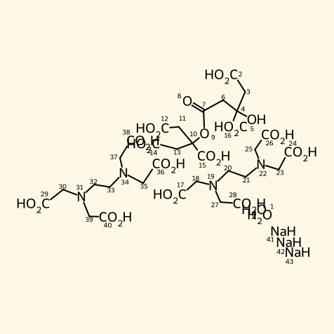 O.O.O=C(O)CC(O)(CC(=O)OC(CC(=O)O)(CC(=O)O)C(=O)O)C(=O)O.O=C(O)CN(CCN(CC(=O)O)CC(=O)O)CC(=O)O.O=C(O)CN(CCN(CC(=O)O)CC(=O)O)CC(=O)O.[NaH].[NaH].[NaH]